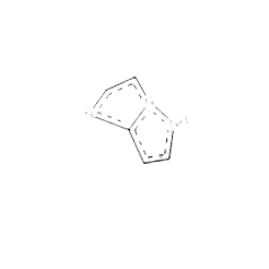 [c]1c[nH]n2[c]cnc12